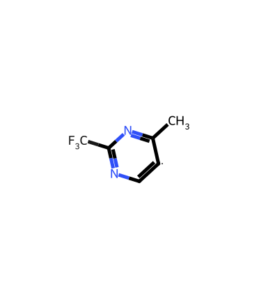 Cc1[c]cnc(C(F)(F)F)n1